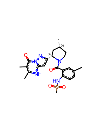 Cc1ccc(NS(C)(=O)=O)c(C(=O)N2CC[C@@H](C)C[C@H]2c2cc3[nH]c(C)c(C)c(=O)n3n2)c1